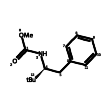 COC(=O)N[C@H](Cc1ccccc1)C(C)(C)C